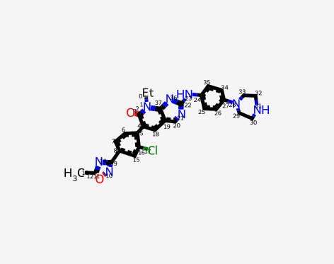 CCn1c(=O)c(-c2ccc(-c3noc(C)n3)cc2Cl)cc2cnc(Nc3ccc(N4CCNCC4)cc3)nc21